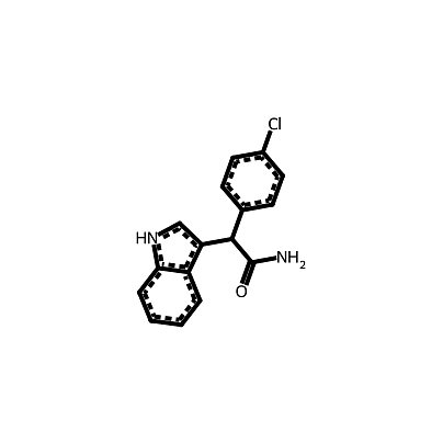 NC(=O)C(c1ccc(Cl)cc1)c1c[nH]c2ccccc12